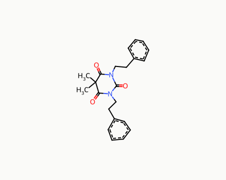 CC1(C)C(=O)N(CCc2ccccc2)C(=O)N(CCc2ccccc2)C1=O